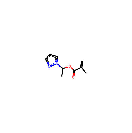 C=C(C)C(=O)OC(C)n1cccn1